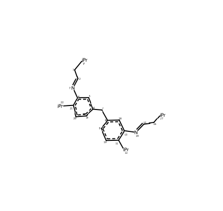 CC(C)CC=Nc1cc(Cc2ccc(C(C)C)c(N=CCC(C)C)c2)ccc1C(C)C